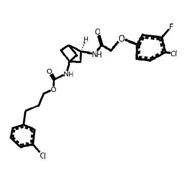 O=C(COc1ccc(Cl)c(F)c1)N[C@H]1CC2(NC(=O)OCCCc3cccc(Cl)c3)CC1C2